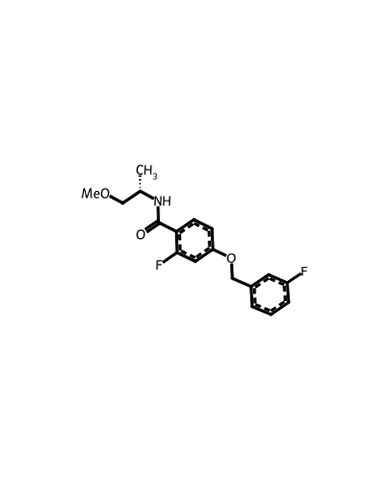 COC[C@H](C)NC(=O)c1ccc(OCc2cccc(F)c2)cc1F